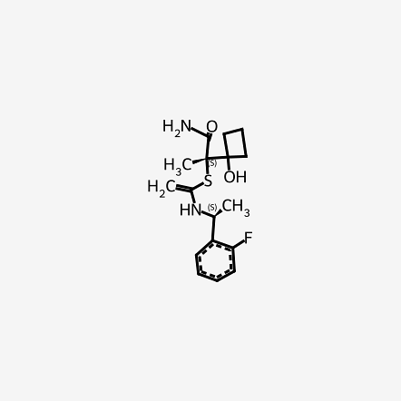 C=C(N[C@@H](C)c1ccccc1F)S[C@](C)(C(N)=O)C1(O)CCC1